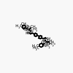 CC1(C)CCC(N)(C(=O)N[C@H](c2nc(-c3ccc(-c4ccc(-c5c[nH]c([C@@H](NC(=O)C6(N)CCC(C)(C)CC6)C(C)(C)C)n5)cc4)cc3)c[nH]2)C(C)(C)C)CC1